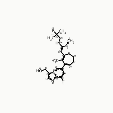 C=N/C(=N\C1=C(C)C(c2cc(F)c3ncc(CO)n3c2)=CCCC1)NCC(C)(C)F